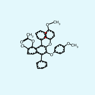 COc1ccc(Oc2c(Oc3ccc(OC)cc3)c(-c3ccccc3)c3c(OC(C)=O)c(Cl)ccc3c2-c2ccccc2)cc1